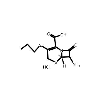 CCCSC1=C(C(=O)O)N2C(=O)C(N)[C@@H]2SC1.Cl